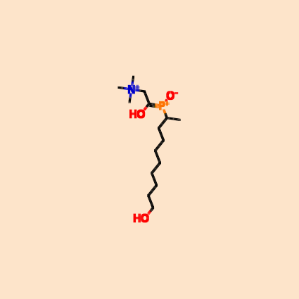 CC(CCCCCCCCO)/[P+]([O-])=C(\O)C[N+](C)(C)C